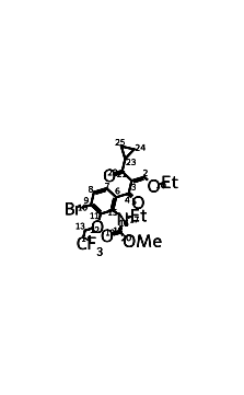 CCO/C=C(\C(=O)c1ccc(Br)c(OCC(F)(F)F)c1N(CC)C(=O)OC)C(=O)C1CC1